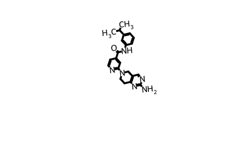 CC(C)c1cccc(NC(=O)c2ccnc(N3CCc4nc(N)ncc4C3)c2)c1